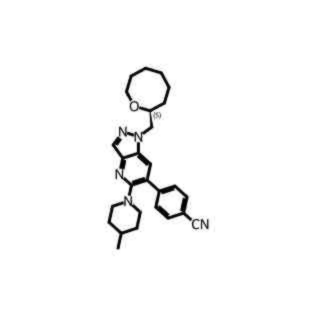 CC1CCN(c2nc3cnn(C[C@@H]4CCCCCCO4)c3cc2-c2ccc(C#N)cc2)CC1